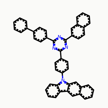 c1ccc(-c2ccc(-c3nc(-c4ccc(-n5c6ccccc6c6cc7ccccc7cc65)cc4)nc(-c4ccc5ccccc5c4)n3)cc2)cc1